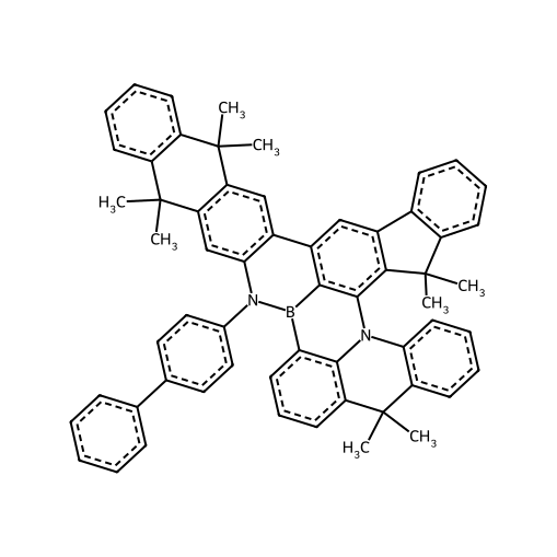 CC1(C)c2ccccc2C(C)(C)c2cc3c(cc21)-c1cc2c(c4c1B(c1cccc5c1N4c1ccccc1C5(C)C)N3c1ccc(-c3ccccc3)cc1)C(C)(C)c1ccccc1-2